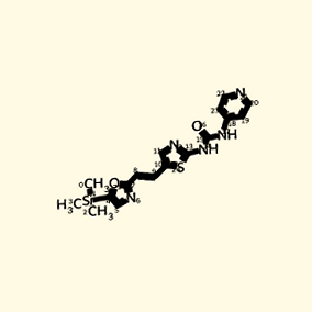 C[Si](C)(C)c1cnc(C=Cc2cnc(NC(=O)Nc3ccncc3)s2)o1